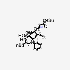 CCCCC1CN(c2ccccc2)c2cc(SCC)c(O/C=C/C(=O)OC(C)(C)C)cc2S(O)(O)N1